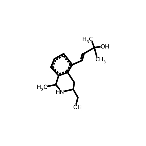 CC1NC(CO)Cc2c(/C=C/C(C)(C)O)cccc21